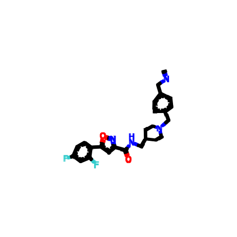 C=NCc1ccc(CN2CCC(CNC(=O)c3cc(-c4ccc(F)cc4F)on3)CC2)cc1